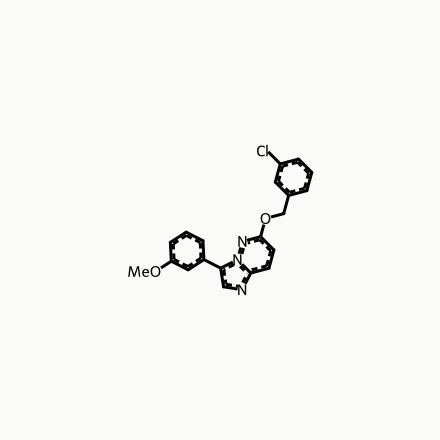 COc1cccc(-c2cnc3ccc(OCc4cccc(Cl)c4)nn23)c1